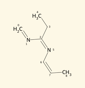 C=N/C(CC)=N\C=C/C